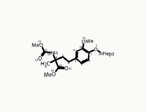 CCCCCCCOc1ccc(CCC(C)(NC(=O)OC)C(=O)OC)cc1OC